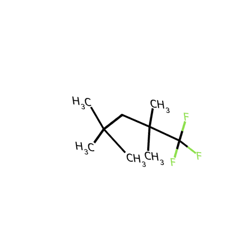 CC(C)(C)CC(C)(C)C(F)(F)F